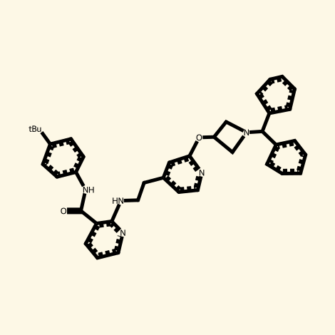 CC(C)(C)c1ccc(NC(=O)c2cccnc2NCCc2ccnc(OC3CN(C(c4ccccc4)c4ccccc4)C3)c2)cc1